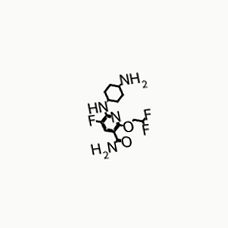 NC(=O)c1cc(F)c(N[C@H]2CC[C@H](N)CC2)nc1OCC(F)F